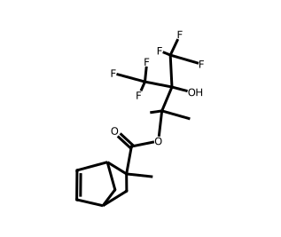 CC1(C(=O)OC(C)(C)C(O)(C(F)(F)F)C(F)(F)F)CC2C=CC1C2